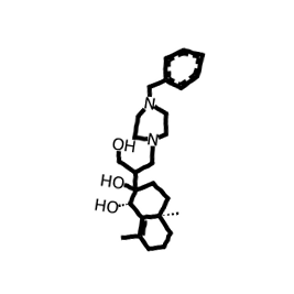 CC1=C2[C@H](O)C(O)(C(CO)CN3CCN(Cc4ccccc4)CC3)CC[C@@]2(C)CCC1